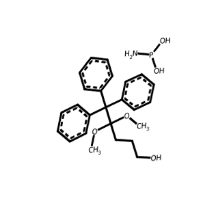 COC(CCCO)(OC)C(c1ccccc1)(c1ccccc1)c1ccccc1.NP(O)O